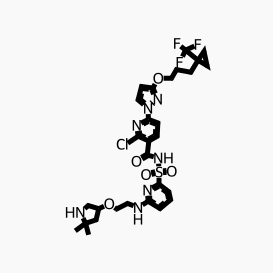 CC1(C)CC(OCCNc2cccc(S(=O)(=O)NC(=O)c3ccc(-n4ccc(OCCCC5(C(F)(F)F)CC5)n4)nc3Cl)n2)CN1